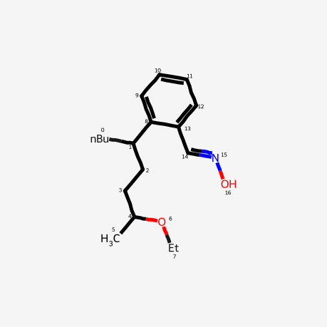 CCCCC(CCC(C)OCC)c1ccccc1C=NO